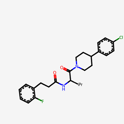 CC(C)C(NC(=O)CCc1ccccc1F)C(=O)N1CCC(c2ccc(Cl)cc2)CC1